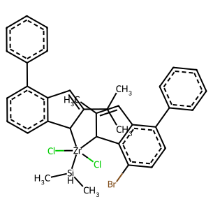 CC1=Cc2c(-c3ccccc3)ccc(Br)c2[CH]1[Zr]([Cl])([Cl])([CH]1C(C(C)C)=Cc2c(-c3ccccc3)cccc21)[SiH](C)C